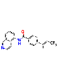 C/C(=C\C(F)(F)F)c1ccc(C(=O)Nc2cccc3cnccc23)cc1